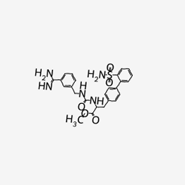 COC(=O)C(Cc1ccc(-c2ccccc2S(N)(=O)=O)cc1)NC(=O)NCc1cccc(C(=N)N)c1